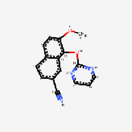 COc1ccc2ccc(C#N)cc2c1Oc1ncccn1